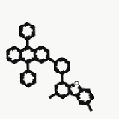 Cc1ccc2oc3c(-c4cccc(-c5ccc6c(-c7ccccc7)c7ccccc7c(-c7ccccc7)c6c5)c4)cc(C)cc3c2c1